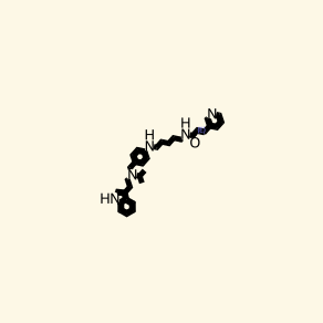 CC(C)N(CCc1c[nH]c2ccccc12)Cc1ccc(NCCCCCNC(=O)/C=C/c2cccnc2)cc1